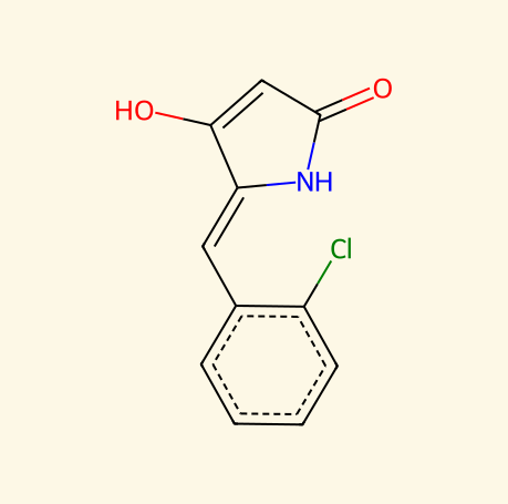 O=C1C=C(O)C(=Cc2ccccc2Cl)N1